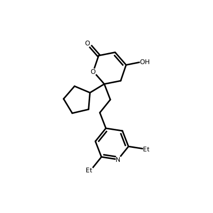 CCc1cc(CCC2(C3CCCC3)CC(O)=CC(=O)O2)cc(CC)n1